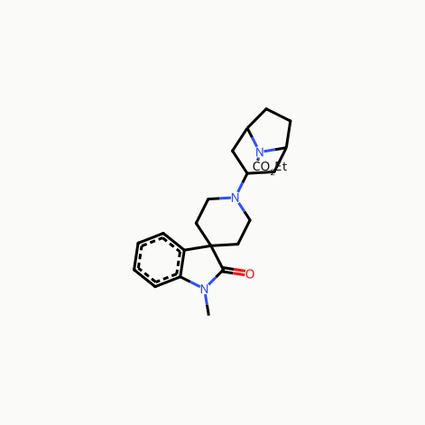 CCOC(=O)N1C2CCC1CC(N1CCC3(CC1)C(=O)N(C)c1ccccc13)C2